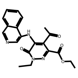 CCOC(=O)c1nn(CC)c(=O)c(Nc2cncc3ccccc23)c1C(C)=O